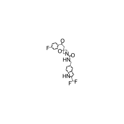 O=C1CC2(CN(C(=O)NCc3ccc4[nH]c(C(F)F)cc4c3)C2)Oc2cc(F)ccc21